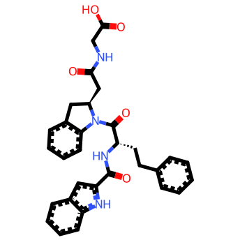 O=C(O)CNC(=O)C[C@@H]1Cc2ccccc2N1C(=O)[C@H](CCc1ccccc1)NC(=O)c1cc2ccccc2[nH]1